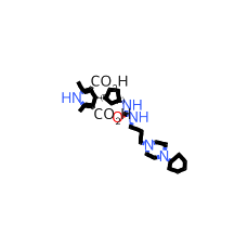 CC1=C(C(=O)O)C([C@@H]2CC[C@H](NC(=O)NCCCN3CCN(C4CCCCC4)CC3)C2)C(C(=O)O)=C(C)N1